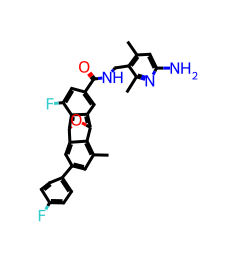 Cc1cc(N)nc(C)c1CNC(=O)c1cc(F)c2c(c1)c1oc2c2cc(-c3ccc(F)cc3)cc(C)c21